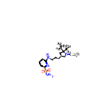 [2H]C([2H])([2H])C1(C([2H])([2H])[2H])C[C@H](CCCNc2cccc(S(N)(=O)=O)n2)CN1C(=O)O